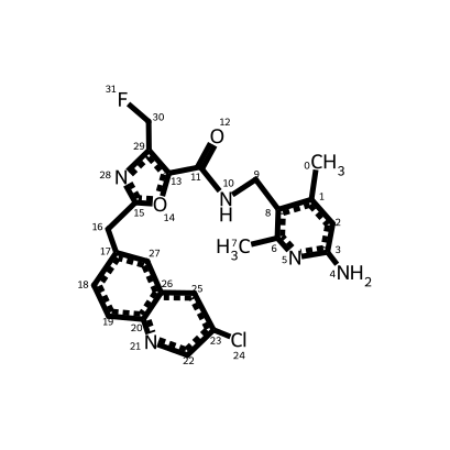 Cc1cc(N)nc(C)c1CNC(=O)c1oc(Cc2ccc3ncc(Cl)cc3c2)nc1CF